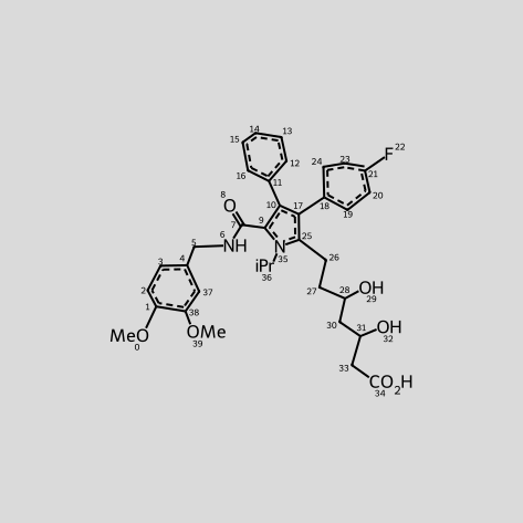 COc1ccc(CNC(=O)c2c(-c3ccccc3)c(-c3ccc(F)cc3)c(CCC(O)CC(O)CC(=O)O)n2C(C)C)cc1OC